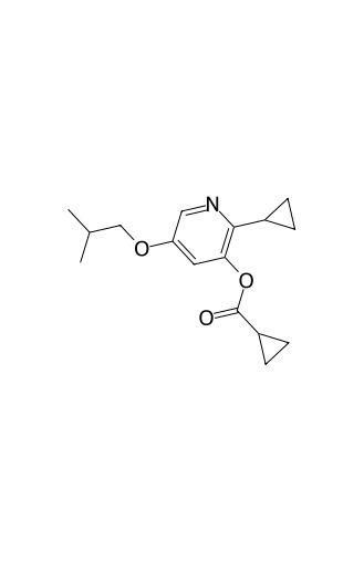 CC(C)COc1cnc(C2CC2)c(OC(=O)C2CC2)c1